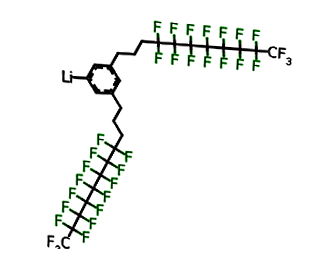 [Li][c]1cc(CCCC(F)(F)C(F)(F)C(F)(F)C(F)(F)C(F)(F)C(F)(F)C(F)(F)C(F)(F)F)cc(CCCC(F)(F)C(F)(F)C(F)(F)C(F)(F)C(F)(F)C(F)(F)C(F)(F)C(F)(F)F)c1